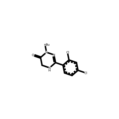 CCCCN1N=C(c2ccc(Cl)cc2Cl)NCC1=O